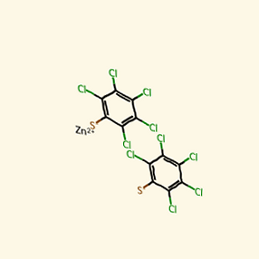 [S-]c1c(Cl)c(Cl)c(Cl)c(Cl)c1Cl.[S-]c1c(Cl)c(Cl)c(Cl)c(Cl)c1Cl.[Zn+2]